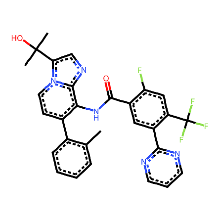 Cc1ccccc1-c1ccn2c(C(C)(C)O)cnc2c1NC(=O)c1cc(-c2ncccn2)c(C(F)(F)F)cc1F